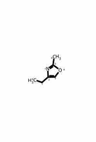 CCc1[c]oc(C)n1